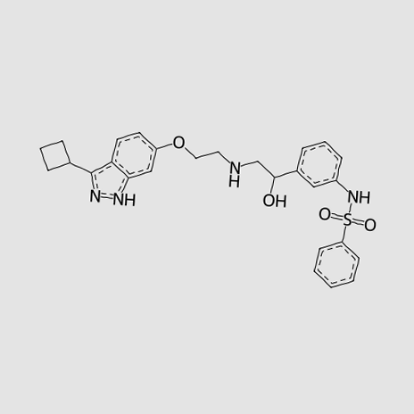 O=S(=O)(Nc1cccc(C(O)CNCCOc2ccc3c(C4CCC4)n[nH]c3c2)c1)c1ccccc1